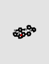 N#Cc1ccc(C#N)c(-n2c3ccccc3c3ccccc32)c1-c1cccc(-c2cccc(N3c4ccccc4C4C=CC=CC43)c2)c1